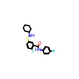 O=C(Nc1ccc(F)cc1)c1cc(SNC2CCCCC2)ccc1F